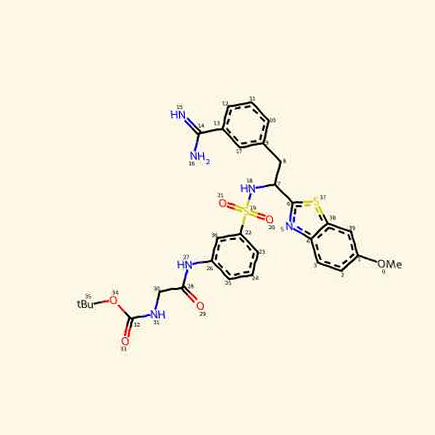 COc1ccc2nc(C(Cc3cccc(C(=N)N)c3)NS(=O)(=O)c3cccc(NC(=O)CNC(=O)OC(C)(C)C)c3)sc2c1